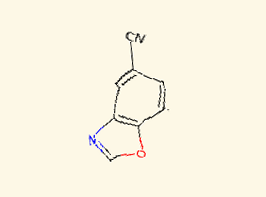 N#Cc1c[c]c2ocnc2c1